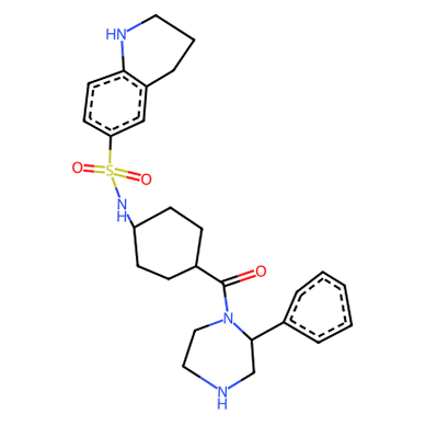 O=C(C1CCC(NS(=O)(=O)c2ccc3c(c2)CCCN3)CC1)N1CCNCC1c1ccccc1